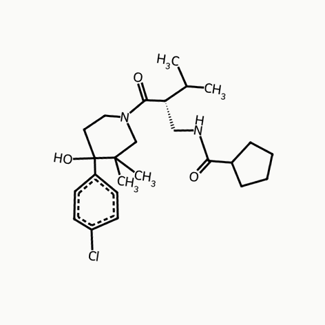 CC(C)[C@H](CNC(=O)C1CCCC1)C(=O)N1CCC(O)(c2ccc(Cl)cc2)C(C)(C)C1